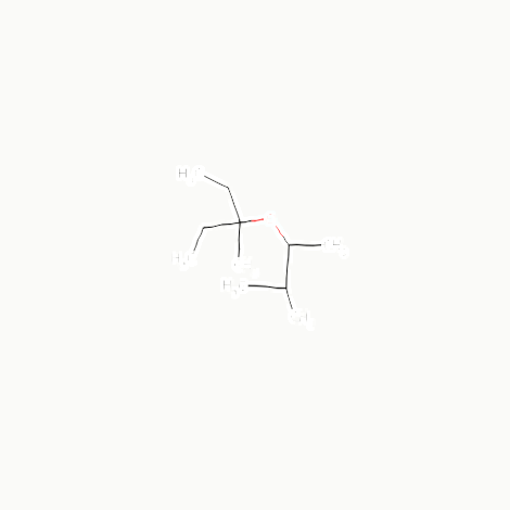 CCC(C)(CC)OC(C)C(C)C